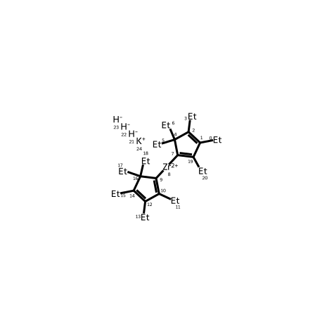 CCC1=C(CC)C(CC)(CC)[C]([Zr+2][C]2=C(CC)C(CC)=C(CC)C2(CC)CC)=C1CC.[H-].[H-].[H-].[K+]